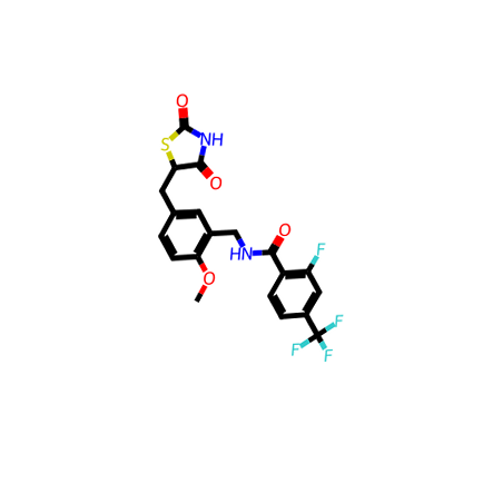 COc1ccc(CC2SC(=O)NC2=O)cc1CNC(=O)c1ccc(C(F)(F)F)cc1F